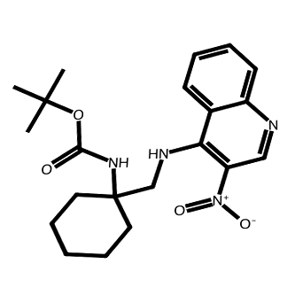 CC(C)(C)OC(=O)NC1(CNc2c([N+](=O)[O-])cnc3ccccc23)CCCCC1